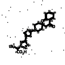 CC(C)(C)C(C(=O)O)n1nnc(-c2cnc(N3CCC4(CC3)CC(=O)c3ccccc3O4)s2)n1